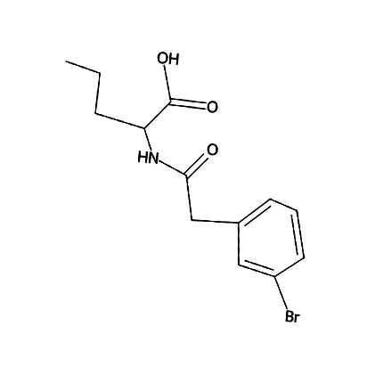 CCCC(NC(=O)Cc1cccc(Br)c1)C(=O)O